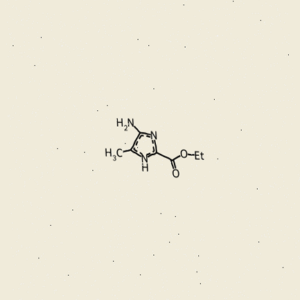 CCOC(=O)c1nc(N)c(C)[nH]1